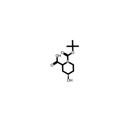 CC(C)(C)OC(=O)N1CC[C@@H](O)CC1C(=O)O